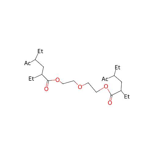 CCC(CC(CC)C(=O)OCCOCCOC(=O)C(CC)CC(CC)C(C)=O)C(C)=O